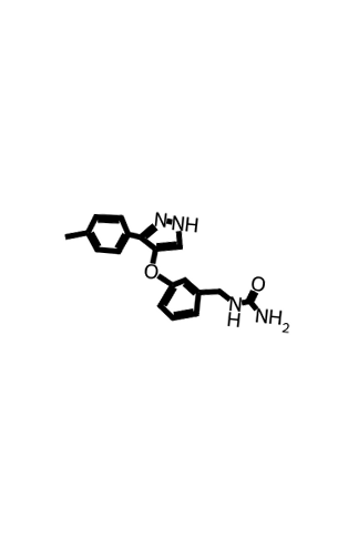 Cc1ccc(-c2n[nH]cc2Oc2cccc(CNC(N)=O)c2)cc1